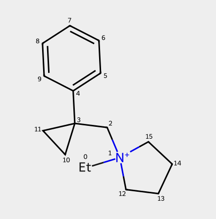 CC[N+]1(CC2(c3ccccc3)CC2)CCCC1